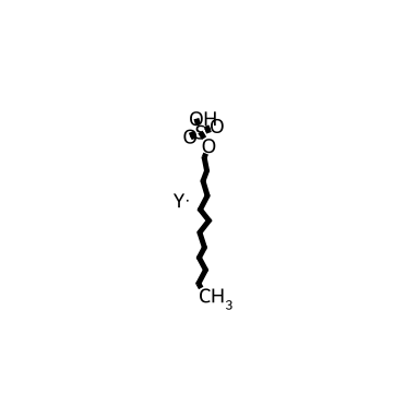 CCCCCCCCCCCCOS(=O)(=O)O.[Y]